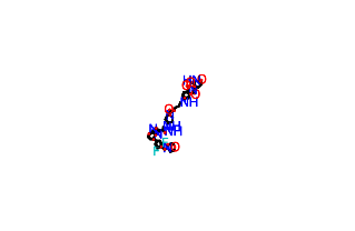 N=C/C(=C\NC1CCN(C(=O)CCCCNc2ccc3c(c2)C(=O)N(C2CCC(=O)NC2=O)C3=O)CC1)c1cnc2cccc(-c3cc(F)c(CN4CCOCC4)c(F)c3)c2n1